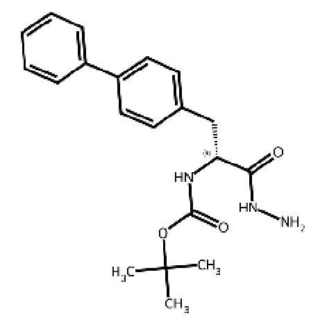 CC(C)(C)OC(=O)N[C@H](Cc1ccc(-c2ccccc2)cc1)C(=O)NN